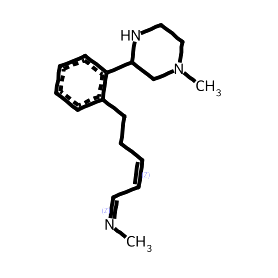 C/N=C\C=C/CCc1ccccc1C1CN(C)CCN1